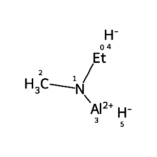 CC[N](C)[Al+2].[H-].[H-]